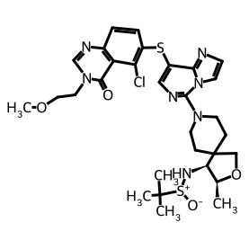 COCCn1cnc2ccc(Sc3cnc(N4CCC5(CC4)CO[C@@H](C)[C@H]5N[S+]([O-])C(C)(C)C)n4ccnc34)c(Cl)c2c1=O